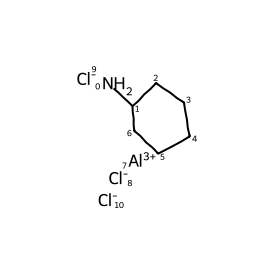 NC1CCCCC1.[Al+3].[Cl-].[Cl-].[Cl-]